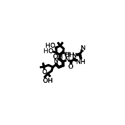 CC1(C)CC(c2ccc(NC(=O)c3nc(C#N)c[nH]3)c(C3=C(O)CC(C)(C)C(O)C3(O)O)n2)CC(C)(CO)O1